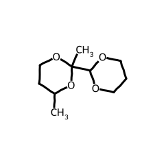 CC1CCOC(C)(C2OCCCO2)O1